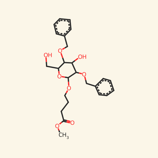 COC(=O)CCCOC1OC(CO)C(OCc2ccccc2)C(O)C1OCc1ccccc1